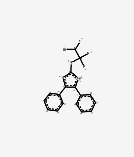 FC(Br)C(F)(F)Sc1nc(-c2ccccc2)c(-c2ccccc2)[nH]1